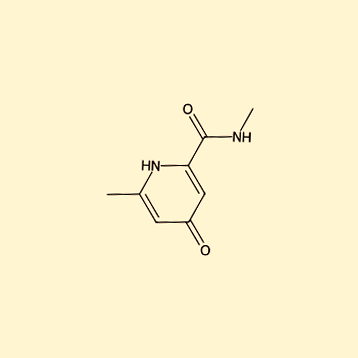 CNC(=O)c1cc(=O)cc(C)[nH]1